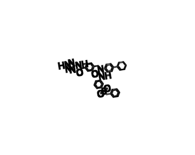 O=C(Nc1nn[nH]n1)c1ccc(CN(C(=O)Nc2cccc(S(=O)(=O)Cc3ccccc3)c2)c2ccc(C3=CCCCC3)cc2)cc1